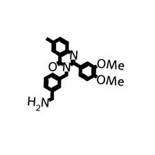 COc1ccc(-c2nc3ccc(C)cc3c(=O)n2Cc2cccc(CN)c2)cc1OC